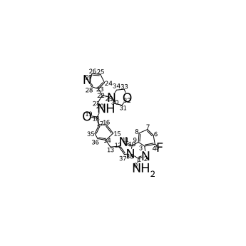 Nc1nc2c(F)cccc2c2nc(Cc3ccc(C(=O)NCC(c4cccnc4)N4CCOCC4)cc3)cn12